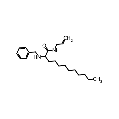 C=CCNC(=O)C(CCCCCCCCCC)NCc1ccccc1